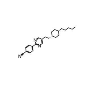 CCCCC[C@H]1CC[C@H](CCc2cnc(-c3ccc(C#N)cc3)nc2)CC1